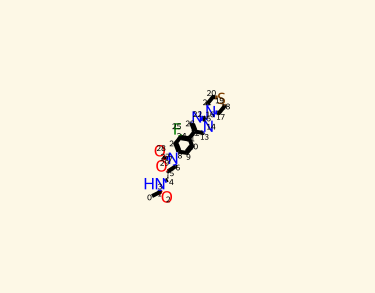 CC(=O)NC[C@H]1CN(c2ccc(-c3cnc(N4CCSCC4)nc3)c(F)c2)C(=O)O1